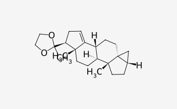 CC1([C@H]2CC=C3[C@@H]4CC[C@]56C[C@@H]5CC[C@]6(C)[C@H]4CC[C@@]32C)OCCO1